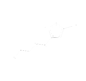 NCCNCc1cc(Cl)co1